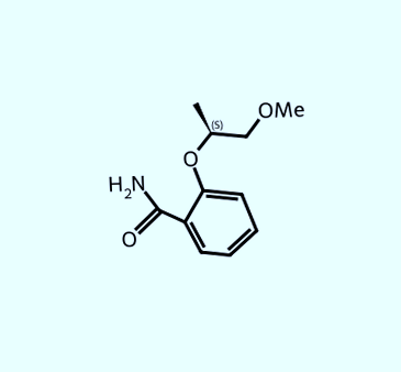 COC[C@H](C)Oc1ccccc1C(N)=O